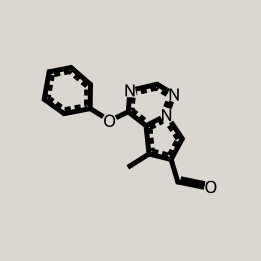 Cc1c(C=O)cn2ncnc(Oc3ccccc3)c12